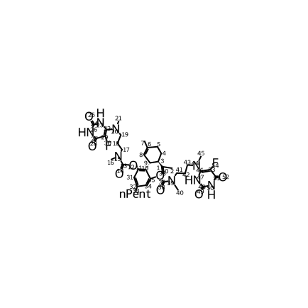 C=C(C)[C@@H]1CCC(C)=C[C@H]1c1c(OC(=O)N(C)CCCN(C)c2[nH]c(=O)[nH]c(=O)c2F)cc(CCCCC)cc1OC(=O)N(C)CCCN(C)c1[nH]c(=O)[nH]c(=O)c1F